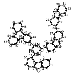 c1ccc2c(c1)oc1cccc(-c3nc(-c4ccc5sc6ccc(-c7ccc8sc9ccccc9c8c7)cc6c5c4)nc(-c4ccc5c6ccccc6c6ccccc6c5c4)n3)c12